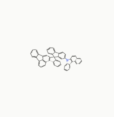 c1ccc2c(c1)-c1cccc3c4c(cc-2c13)C1(c2ccccc2-c2ccc(-n3c5ccccc5c5c6ccccc6ccc53)cc21)c1ccccc1-4